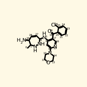 CC1NNC(Nc2cc(N3CCOCC3)ncc2C(=O)c2ccccc2Cl)C=CC1N